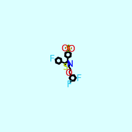 CS(=O)(=O)c1ccc(-c2nc(COc3cc(F)cc(F)c3)sc2-c2ccc(F)cc2)cc1